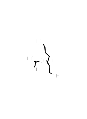 C=C(C)C(=O)O.[CH2]CCCCCCC